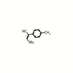 Cc1ccc(/C(C#N)=C\C(C)(C)C)cc1